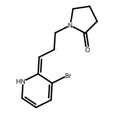 O=C1CCCN1C[CH]C=C1NC=CC=C1Br